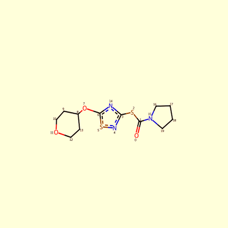 O=C(Sc1nsc(OC2CCOCC2)n1)N1CCCC1